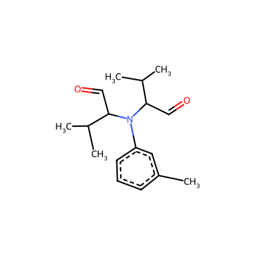 Cc1cccc(N(C(C=O)C(C)C)C(C=O)C(C)C)c1